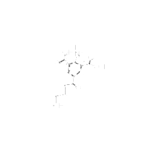 CCCCC(=O)c1cc(C(=O)O)c(N)c(C(=O)O)c1